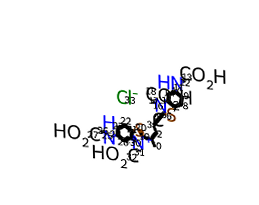 CC(=CC=C=C1Sc2ccc(NCC(=O)O)cc2N1CC(=O)O)c1sc2ccc(NCC(=O)O)cc2[n+]1CC(=O)O.[Cl-]